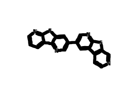 c1cnc2sc3cc(-c4cnc5sc6cnccc6c5c4)cnc3c2c1